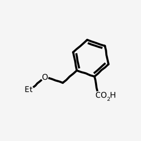 CCOCc1ccccc1C(=O)O